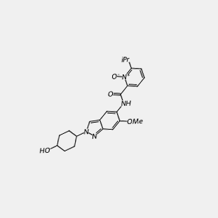 COc1cc2nn(C3CCC(O)CC3)cc2cc1NC(=O)c1cccc(C(C)C)[n+]1[O-]